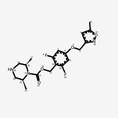 Cc1cc(COc2cc(F)c(COC(=O)N3[C@H](C)CNC[C@@H]3C)c(F)c2)no1